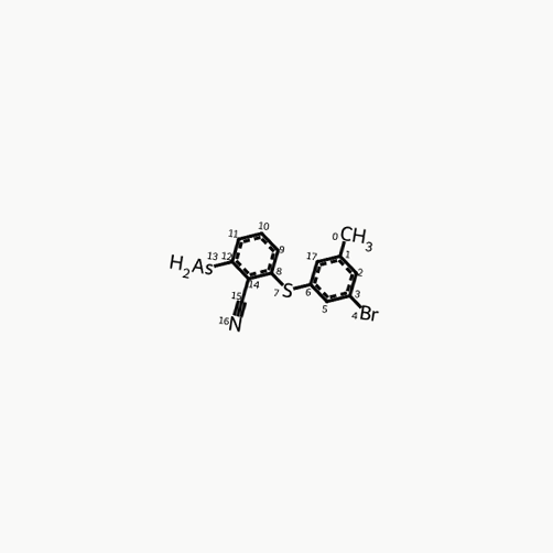 Cc1cc(Br)cc(Sc2cccc([AsH2])c2C#N)c1